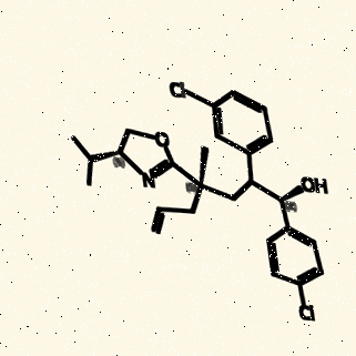 C=CC[C@@](C)(CC(c1cccc(Cl)c1)[C@@H](O)c1ccc(Cl)cc1)C1=N[C@@H](C(C)C)CO1